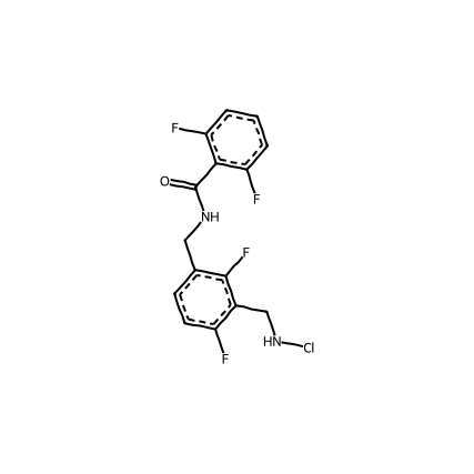 O=C(NCc1ccc(F)c(CNCl)c1F)c1c(F)cccc1F